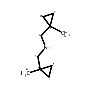 CC1(C[N]CC2(C)CC2)CC1